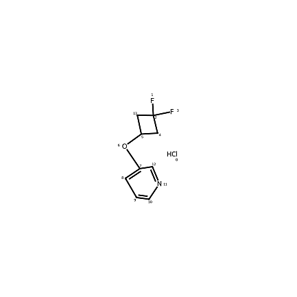 Cl.FC1(F)CC(Oc2cccnc2)C1